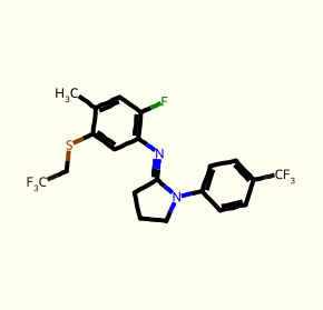 Cc1cc(F)c(/N=C2\CCCN2c2ccc(C(F)(F)F)cc2)cc1SCC(F)(F)F